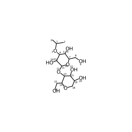 CC(C)OC1C(O)C(CO)OC(OC2C(CO)OCC(O)C2O)C1O